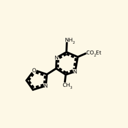 CCOC(=O)c1nc(C)c(-c2ncco2)nc1N